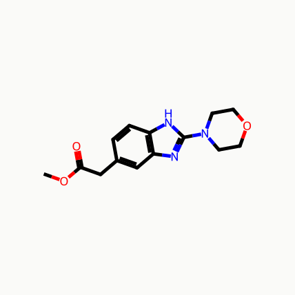 COC(=O)Cc1ccc2[nH]c(N3CCOCC3)nc2c1